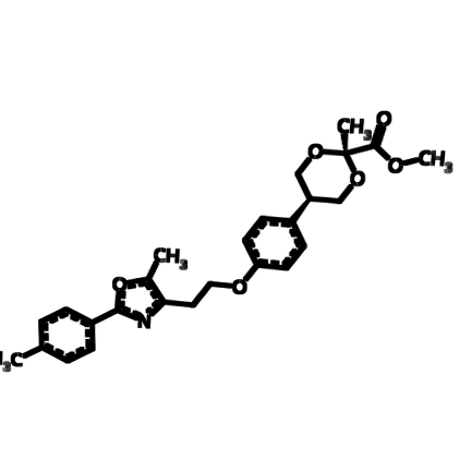 COC(=O)[C@]1(C)OC[C@@H](c2ccc(OCCc3nc(-c4ccc(C)cc4)oc3C)cc2)CO1